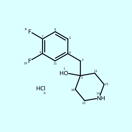 Cl.OC1(Cc2ccc(F)c(F)c2)CCNCC1